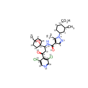 C[C@H]1C[C@@H](n2ncc(C(=O)NC(CC(=O)c3c(Cl)cncc3Cl)[C@]34CC[C@H](CC3)O4)c2C(F)(F)F)CC[C@@H]1C(=O)O